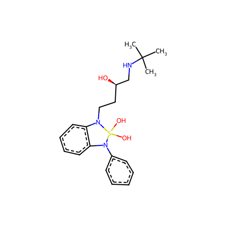 CC(C)(C)NC[C@H](O)CCN1c2ccccc2N(c2ccccc2)S1(O)O